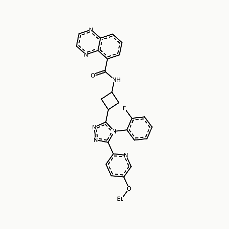 CCOc1ccc(-c2nnc(C3CC(NC(=O)c4cccc5nccnc45)C3)n2-c2ccccc2F)nc1